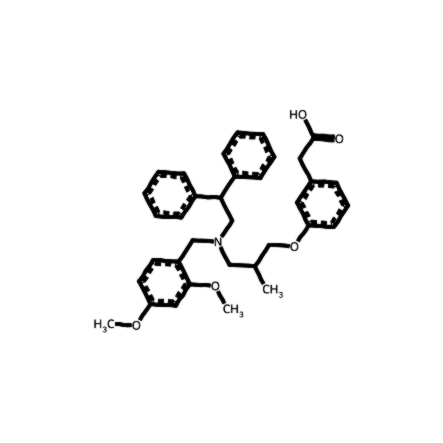 COc1ccc(CN(CC(C)COc2cccc(CC(=O)O)c2)CC(c2ccccc2)c2ccccc2)c(OC)c1